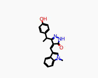 CC(C1=NNC(=O)C1=Cc1cn(C)c2ccccc12)c1ccc(O)cc1